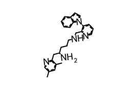 Cc1cnc(CC(N)CCCNCc2ncccc2-n2ccc3ccccc32)c(C)c1